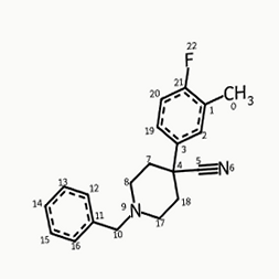 Cc1cc(C2(C#N)CCN(Cc3ccccc3)CC2)ccc1F